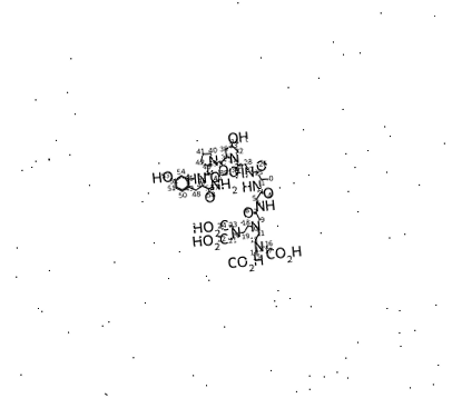 CC(NC(=O)CNC(=O)CN(CCN(CC(=O)O)CC(=O)O)CCN(CC(=O)O)CC(=O)O)C(=O)NCC(=O)N1C[C@@H](O)CC1C(=O)N1CCCC1C(=O)NC(Cc1ccc(O)cc1)C(N)=O